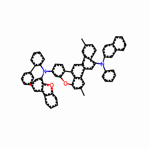 Cc1ccc2c(N(c3ccccc3)c3ccc4ccccc4c3)cc3c4cc(C)cc5c4c(cc3c2c1)-c1ccc(N(c2ccccc2-c2ccccc2)c2cccc3c2oc2ccccc23)cc1O5